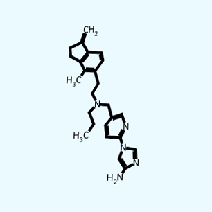 C=C1CCc2c1ccc(CCN(CCC)Cc1ccc(-n3cnc(N)c3)nc1)c2C